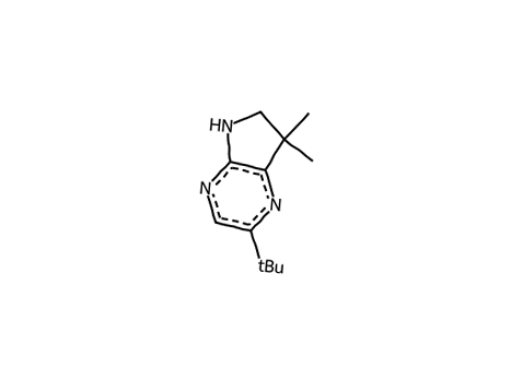 CC(C)(C)c1cnc2c(n1)C(C)(C)CN2